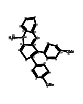 COc1ccc(C2=C(c3ccc(OC)cc3)C3=Nc4ccccc4N(N)C3=CC2)cc1